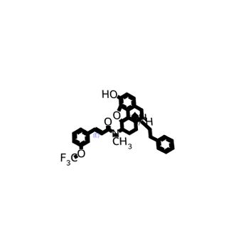 CN(C(=O)/C=C/c1cccc(OC(F)(F)F)c1)C1CC[C@@]2(O)[C@H]3Cc4ccc(O)c5c4[C@@]2(CCN3CCc2ccccc2)C1O5